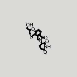 CN1CC(CO)Oc2ccc3c(c21)CN(C1CCC(=O)NC1=O)C3=O